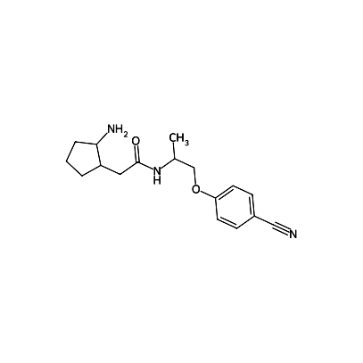 CC(COc1ccc(C#N)cc1)NC(=O)CC1CCCC1N